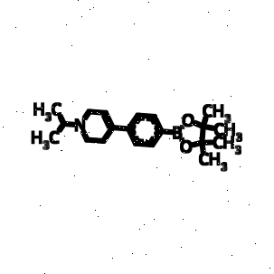 CC(C)N1CC=C(c2ccc(B3OC(C)(C)C(C)(C)O3)cc2)CC1